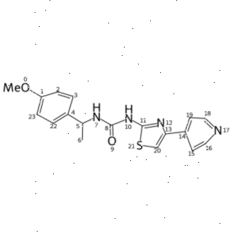 COc1ccc(C(C)NC(=O)Nc2nc(-c3ccncc3)cs2)cc1